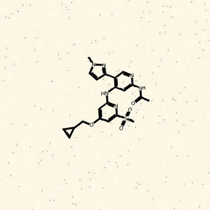 CC(=O)Nc1cc(Nc2cc(OCC3CC3)cc(S(C)(=O)=O)n2)c(-c2ccn(C)n2)cn1